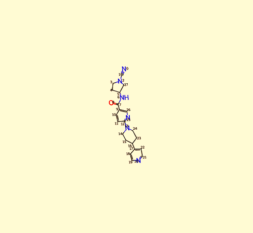 N#CN1CCC(NC(=O)c2ccc(N3CCC(c4ccncc4)CC3)nc2)C1